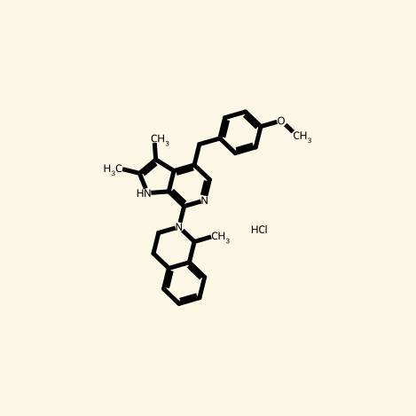 COc1ccc(Cc2cnc(N3CCc4ccccc4C3C)c3[nH]c(C)c(C)c23)cc1.Cl